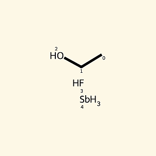 CCO.F.[SbH3]